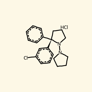 Cl.Clc1cccc([C@@]2(c3ccccc3)CCCN2N2CCCC2)c1